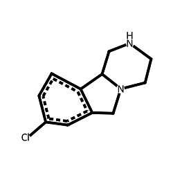 Clc1ccc2c(c1)CN1CCNCC21